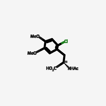 COc1cc(Cl)c(C[C@H](NC(C)=O)C(=O)O)cc1OC